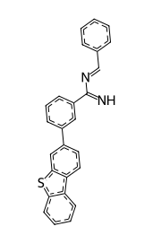 N=C(/N=C/c1ccccc1)c1cccc(-c2ccc3c(c2)sc2ccccc23)c1